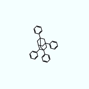 c1ccc(C2[C]3CC4(c5ccccc5)CC(c5ccccc5)(C3)CC2(c2ccccc2)C4)cc1